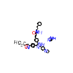 O=C(C=Cc1ccc(-c2[nH]c(-c3ccc(N4CCCC4)cc3)nc2-c2ccc(C3=NOC(C(=O)O)C3)cc2)cc1)NCCCc1ccccc1.c1c[nH]cn1